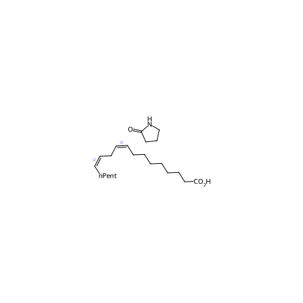 CCCCC/C=C\C/C=C\CCCCCCCC(=O)O.O=C1CCCN1